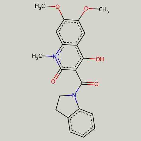 COc1cc2c(O)c(C(=O)N3CCc4ccccc43)c(=O)n(C)c2cc1OC